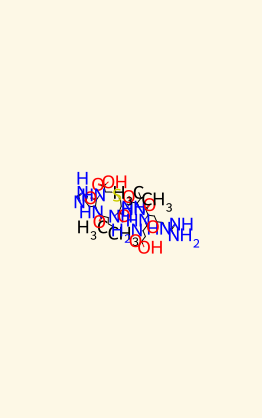 CCC(C)C1NC(=O)C(NC(=O)C(NC(=O)C(CCCNC(=N)N)NC(=O)C(N)CC(=O)O)C(C)C)CSCC(C(=O)O)NC(=O)C(Cc2c[nH]cn2)NC1=O